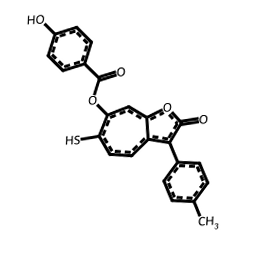 Cc1ccc(-c2c3ccc(S)c(OC(=O)c4ccc(O)cc4)cc-3oc2=O)cc1